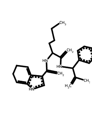 C=C(NC(CCCC)C(=C)NC(C(=C)C)c1ccccc1)c1c[nH]c2c1=CCCC=2